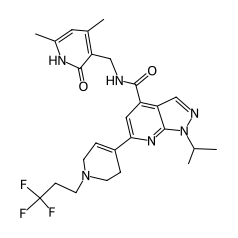 Cc1cc(C)c(CNC(=O)c2cc(C3=CCN(CCC(F)(F)F)CC3)nc3c2cnn3C(C)C)c(=O)[nH]1